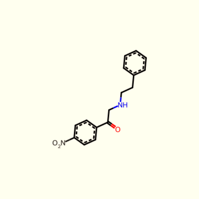 O=C(CNCCc1ccccc1)c1ccc([N+](=O)[O-])cc1